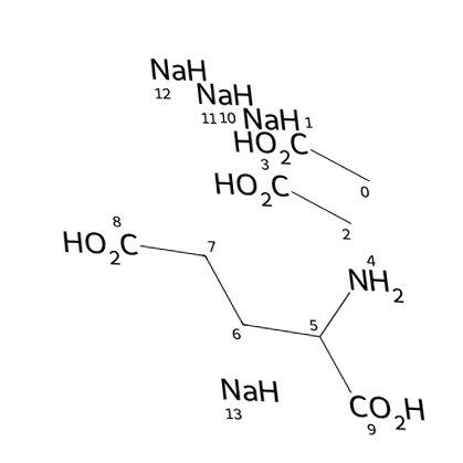 CC(=O)O.CC(=O)O.NC(CCC(=O)O)C(=O)O.[NaH].[NaH].[NaH].[NaH]